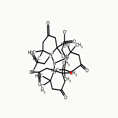 CC1(C)CC(=O)CC(C)(C)[N+]1(CC(=O)[O-])N([N+]1(CC(=O)[O-])C(C)(C)CC(=O)CC1(C)C)[N+]1(CC(=O)[O-])C(C)(C)CC(=O)CC1(C)C